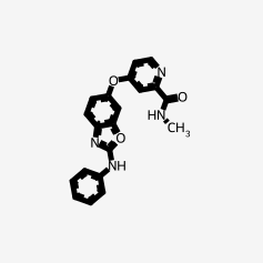 CNC(=O)c1cc(Oc2ccc3nc(Nc4ccccc4)oc3c2)ccn1